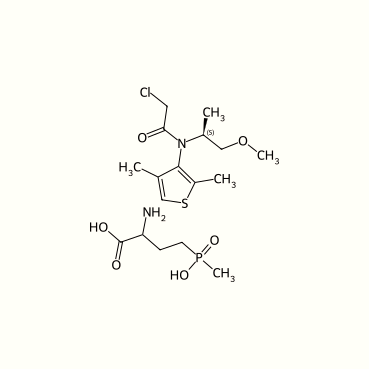 COC[C@H](C)N(C(=O)CCl)c1c(C)csc1C.CP(=O)(O)CCC(N)C(=O)O